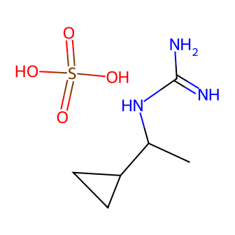 CC(NC(=N)N)C1CC1.O=S(=O)(O)O